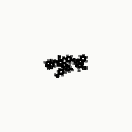 COc1ccc(S(=O)(=O)N(CC(C)C)C[C@@H](O)[C@H](Cc2ccc(OCP(=O)(Oc3ccccc3)O[C@@H](C)C(=O)O)cc2)NC(=O)O[C@H]2CO[C@H]3OCC[C@H]32)cc1